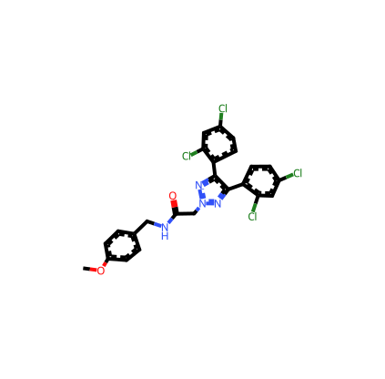 COc1ccc(CNC(=O)Cn2nc(-c3ccc(Cl)cc3Cl)c(-c3ccc(Cl)cc3Cl)n2)cc1